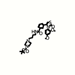 COc1ccc(-n2c(-c3cccc(C(=O)NCCCCN4CCN(C(=O)OC(C)(C)C)CC4)c3)csc2=O)c(OC)c1